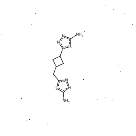 Nc1nnc(CC2CC(c3nnc(N)s3)C2)s1